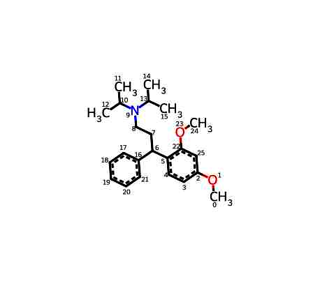 COc1ccc(C(CCN(C(C)C)C(C)C)c2ccccc2)c(OC)c1